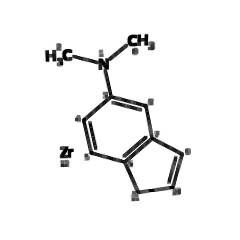 CN(C)c1ccc2c(c1)C=C[CH]2.[Zr]